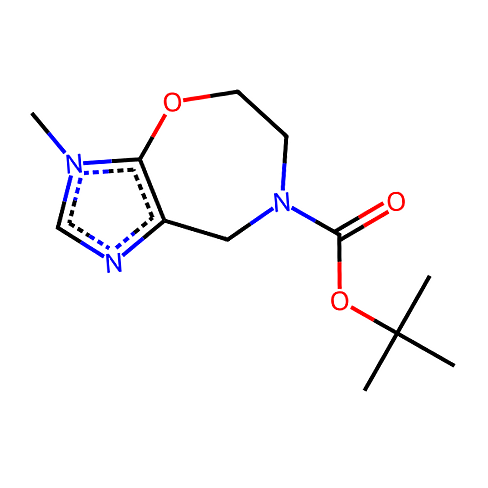 Cn1cnc2c1OCCN(C(=O)OC(C)(C)C)C2